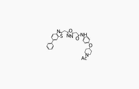 CC(=O)N1CCC(Oc2ccc(NC(=O)Cc3nnc(Cc4nc5ccc(-c6ccccc6)cc5s4)o3)cc2)CC1